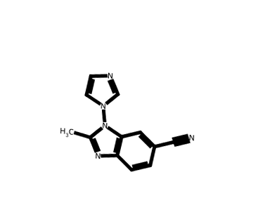 Cc1nc2ccc(C#N)cc2n1-n1ccnc1